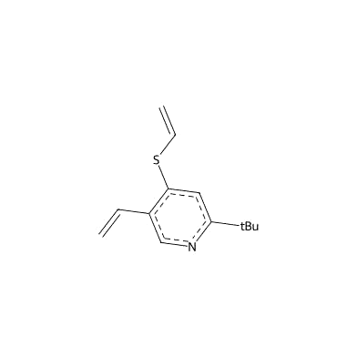 C=CSc1cc(C(C)(C)C)ncc1C=C